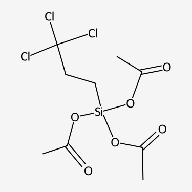 CC(=O)O[Si](CCC(Cl)(Cl)Cl)(OC(C)=O)OC(C)=O